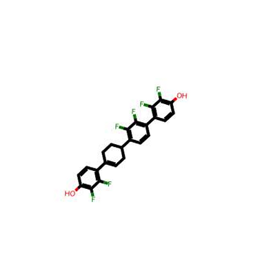 Oc1ccc(C2=CCC(c3ccc(-c4ccc(O)c(F)c4F)c(F)c3F)CC2)c(F)c1F